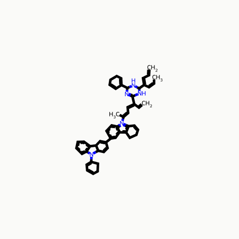 C=C/C=C(\C=C/C)C1NC(/C(C=C)=C/C=C(\C)n2c3c(c4cc(C5=CC6c7ccccc7N(C7=CC=CCC7)C6C=C5)ccc42)CCC=C3)=NC(C2=CCCC=C2)N1